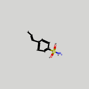 [CH2]/C=C/c1ccc(S(N)(=O)=O)cc1